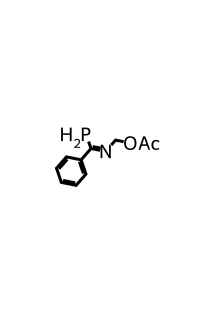 CC(=O)OC/N=C(\P)c1ccccc1